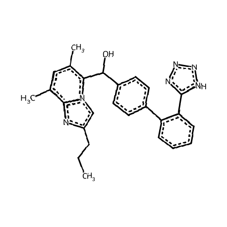 CCCc1cn2c(C(O)c3ccc(-c4ccccc4-c4nnn[nH]4)cc3)c(C)cc(C)c2n1